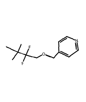 CC(C)(C)C(F)(F)COCc1ccncc1